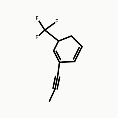 CC#CC1=CC(C(F)(F)F)CC=C1